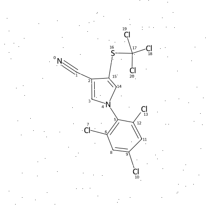 N#Cc1cn(-c2c(Cl)cc(Cl)cc2Cl)cc1SC(Cl)(Cl)Cl